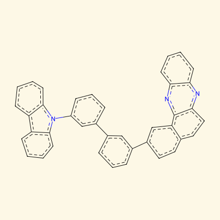 c1cc(-c2cccc(-n3c4ccccc4c4ccccc43)c2)cc(-c2ccc3ccc4nc5ccccc5nc4c3c2)c1